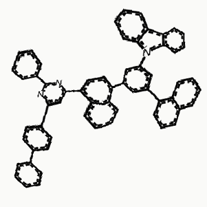 c1ccc(-c2ccc(-c3cc(-c4ccc(-c5cc(-c6cccc7ccccc67)cc(-n6c7ccccc7c7ccccc76)c5)c5ccccc45)nc(-c4ccccc4)n3)cc2)cc1